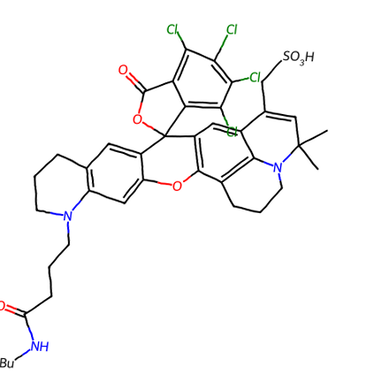 CC(C)(C)NC(=O)CCCN1CCCc2cc3c(cc21)Oc1c(cc2c4c1CCCN4C(C)(C)C=C2CS(=O)(=O)O)C31OC(=O)c2c(Cl)c(Cl)c(Cl)c(Cl)c21